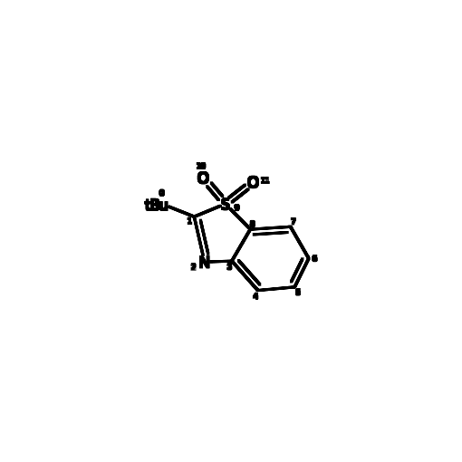 CC(C)(C)C1=Nc2ccccc2S1(=O)=O